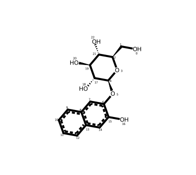 OC[C@H]1O[C@@H](Oc2cc3ccccc3cc2O)[C@H](O)[C@@H](O)[C@@H]1O